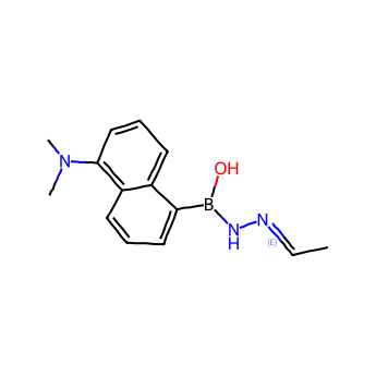 C/C=N/NB(O)c1cccc2c(N(C)C)cccc12